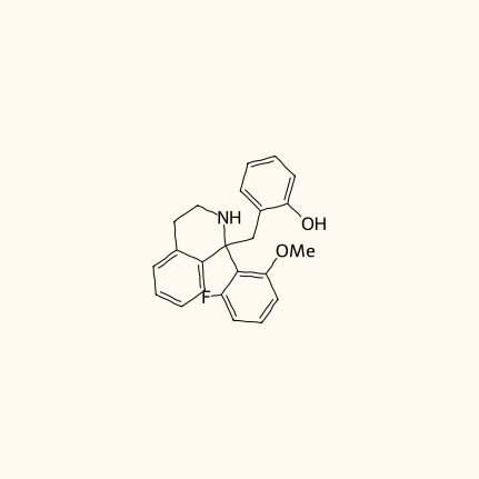 COc1cccc(F)c1C1(Cc2ccccc2O)NCCc2ccccc21